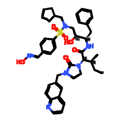 CC[C@H](C)[C@@H](C(=O)N[C@@H](Cc1ccccc1)[C@H](O)CN(CC1CCCC1)S(=O)(=O)c1ccc(C=NO)cc1)N1CCN(Cc2ccc3ncccc3c2)C1=O